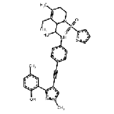 CCC1=C(C)CCN(S(=O)(=O)c2cccs2)C1C(O)Nc1ccc(C#Cc2cn(C)nc2-c2cc(C)ccc2O)cc1